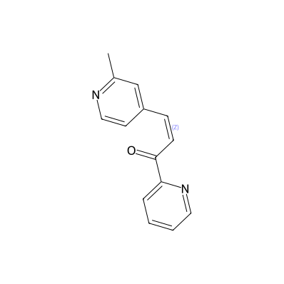 Cc1cc(/C=C\C(=O)c2ccccn2)ccn1